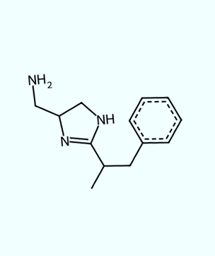 CC(Cc1ccccc1)C1=NC(CN)CN1